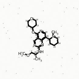 COC[C@H](C)Nc1ncc2c(OC3CCOCC3)ncc(C3CCCCN3C)c2n1